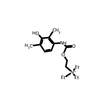 CC[N+](CC)(CC)CCOC(=O)Nc1ccc(C)c(O)c1C